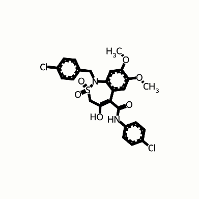 COc1cc2c(cc1OC)N(Cc1ccc(Cl)cc1)S(=O)(=O)CC(O)=C2C(=O)Nc1ccc(Cl)cc1